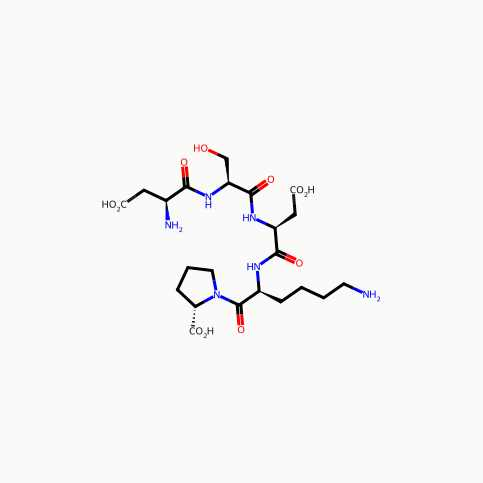 NCCCC[C@H](NC(=O)[C@H](CC(=O)O)NC(=O)[C@H](CO)NC(=O)[C@@H](N)CC(=O)O)C(=O)N1CCC[C@H]1C(=O)O